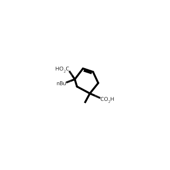 CCCCC1(C(=O)O)C=CCC(C)(C(=O)O)C1